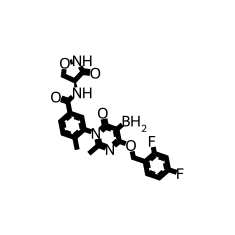 Bc1c(OCc2ccc(F)cc2F)nc(C)n(-c2cc(C(=O)N[C@H]3CONC3=O)ccc2C)c1=O